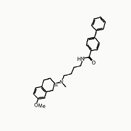 COc1ccc2c(c1)C[C@H](N(C)CCCCNC(=O)c1ccc(-c3ccccc3)cc1)CC2